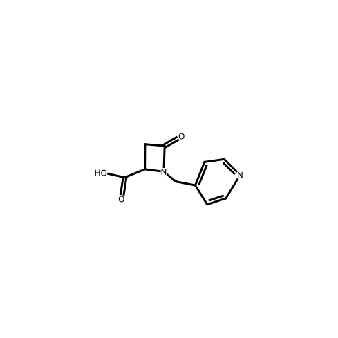 O=C(O)C1CC(=O)N1Cc1ccncc1